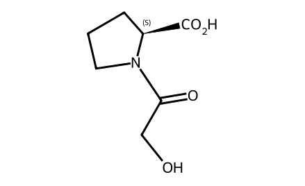 O=C(O)[C@@H]1CCCN1C(=O)CO